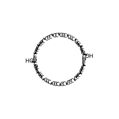 CC1CCCC(C)CCCC(C)CCC(C)CCCC(C)CCCC(C)CCCC(C)CCOCC(CO)OCCC(C)CCCC(C)CCCC(C)CCCC(C)CCC(C)CCCC(C)CCCC(C)CCCC(C)CCOC(CO)COCCC(C)CCC1